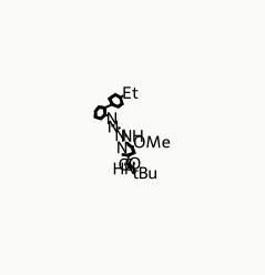 CCc1ccc(-c2ccccc2N=NC=NNc2ncc(S(=O)(=O)NC(C)(C)C)cc2OC)cc1